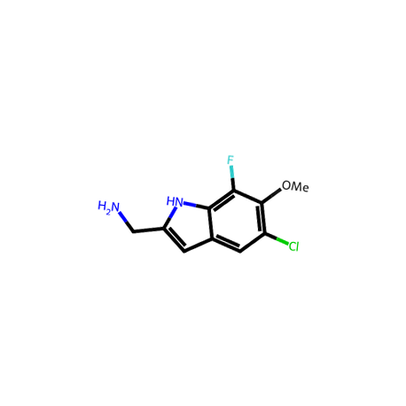 COc1c(Cl)cc2cc(CN)[nH]c2c1F